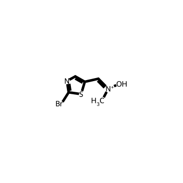 C/[N+](O)=C\c1cnc(Br)s1